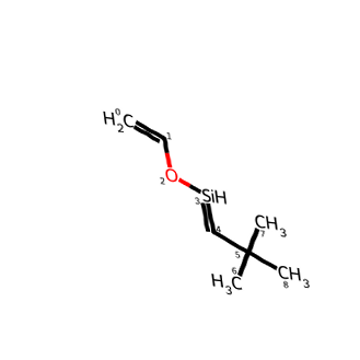 C=CO[SiH]=CC(C)(C)C